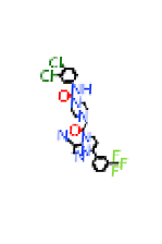 N#Cc1cnn2c1N(C(=O)CN1CCN(C(=O)Nc3ccc(Cl)c(Cl)c3)CC1)CC=C2c1cccc(C(F)(F)F)c1